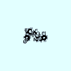 C[C@@H](C(=O)Nc1cn(Cc2cccc(Cl)c2F)cn1)N1CCC(F)(F)[C@@H](c2cc[n+]([O-])cc2)C1